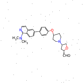 CN(C)c1nccc2cc(-c3ccc(OC4CCN(C5CO[C@@H](C=O)C5)CC4)cc3)ccc12